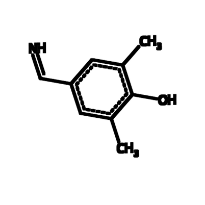 Cc1cc(C=N)cc(C)c1O